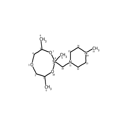 CC1COCC(C)O[Si](C)(CN2CCN(C)CC2)O1